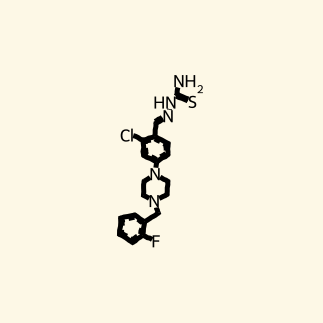 NC(=S)N/N=C/c1ccc(N2CCN(Cc3ccccc3F)CC2)cc1Cl